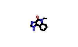 CCn1c(=O)c2nc[nH]c2c2ccccc21